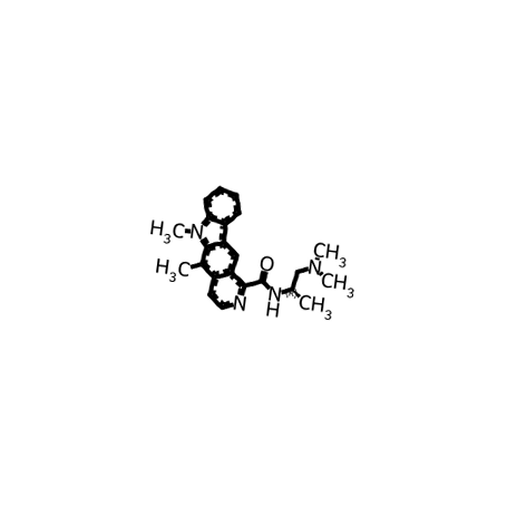 Cc1c2ccnc(C(=O)N[C@H](C)CN(C)C)c2cc2c3ccccc3n(C)c12